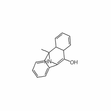 CC12NC(=C(O)C3C=CC=CC31)c1ccccc12